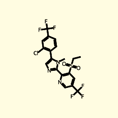 CCS(=O)(=O)c1cc(C(F)(F)F)cnc1-c1ncc(-c2ccc(C(F)(F)F)cc2Cl)n1C